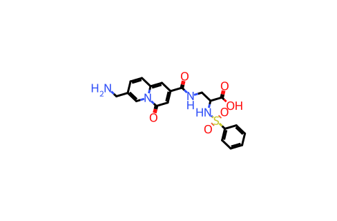 NCc1ccc2cc(C(=O)NCC(NS(=O)(=O)c3ccccc3)C(=O)O)cc(=O)n2c1